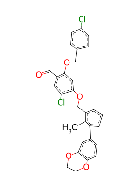 Cc1c(COc2cc(OCc3ccc(Cl)cc3)c(C=O)cc2Cl)cccc1-c1ccc2c(c1)OCCO2